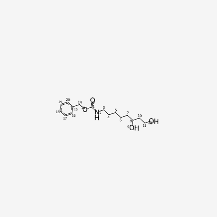 O=C(NCCCCCC(O)CCO)OCc1ccccc1